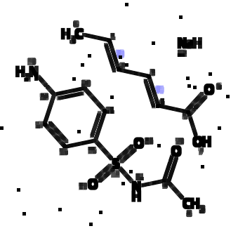 C/C=C/C=C/C(=O)O.CC(=O)NS(=O)(=O)c1ccc(N)cc1.[NaH]